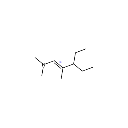 CCC(CC)/C(C)=C/N(C)C